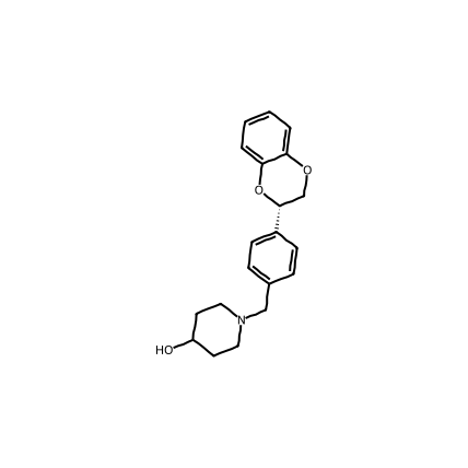 OC1CCN(Cc2ccc([C@H]3COc4ccccc4O3)cc2)CC1